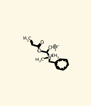 C=CC(=O)OC(C)[N+](C)(C)Cc1ccccc1.[Br-]